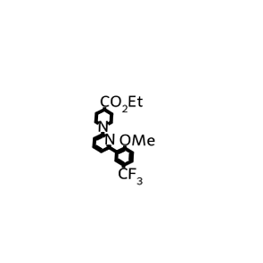 CCOC(=O)C1CCN(c2cccc(-c3cc(C(F)(F)F)ccc3OC)n2)CC1